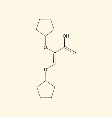 O=C(O)C(=COC1CCCC1)OC1CCCC1